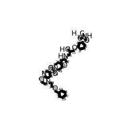 CNS(=O)(=O)c1cccc(OCC(O)CNC2COC3(CCN(S(=O)(=O)c4cnc5c(c4)N(CCOCc4ccccc4)CCO5)CC3)C2)c1